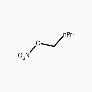 CC[CH]CO[N+](=O)[O-]